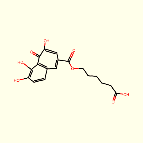 O=C(O)CCCCCOC(=O)c1cc(O)c(=O)c2c(O)c(O)ccc2c1